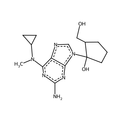 CN(c1nc(N)nc2c1ncn2C1(O)CCCC1CO)C1CC1